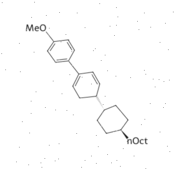 CCCCCCCC[C@H]1CC[C@H](C2C=CC(c3ccc(OC)cc3)=CC2)CC1